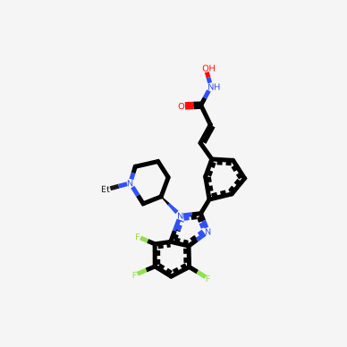 CCN1CCC[C@@H](n2c(-c3cccc(C=CC(=O)NO)c3)nc3c(F)cc(F)c(F)c32)C1